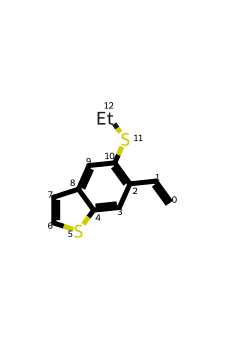 C=Cc1cc2sccc2cc1SCC